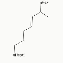 CCCCCCCCCCC=CC(C)CCCCCC